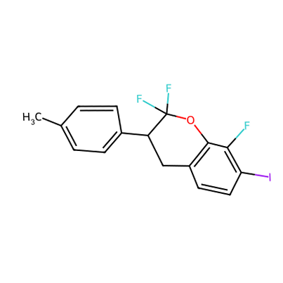 Cc1ccc(C2Cc3ccc(I)c(F)c3OC2(F)F)cc1